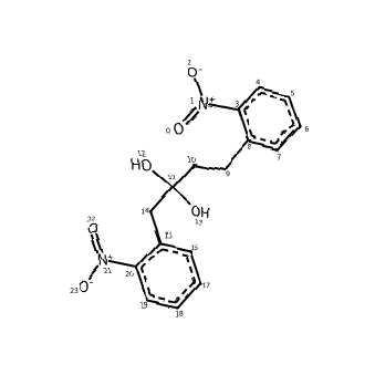 O=[N+]([O-])c1ccccc1CCC(O)(O)Cc1ccccc1[N+](=O)[O-]